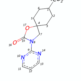 O=C(O)C1CCC2(CC1)CN(c1ncccn1)C(=O)O2